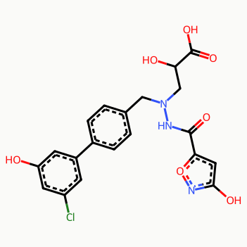 O=C(NN(Cc1ccc(-c2cc(O)cc(Cl)c2)cc1)CC(O)C(=O)O)c1cc(O)no1